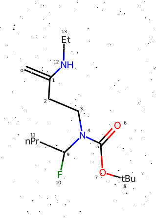 C=C(CCN(C(=O)OC(C)(C)C)C(F)CCC)NCC